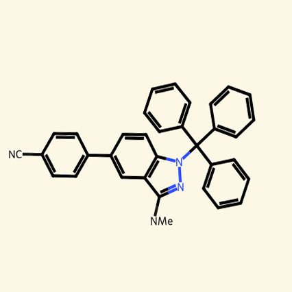 CNc1nn(C(c2ccccc2)(c2ccccc2)c2ccccc2)c2ccc(-c3ccc(C#N)cc3)cc12